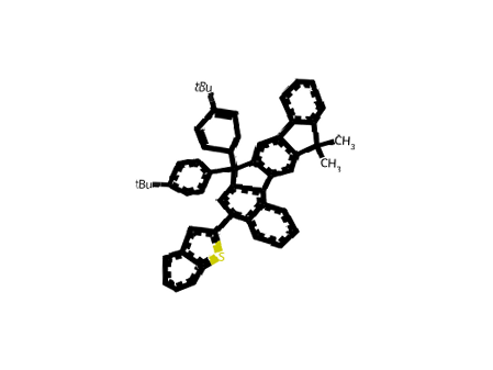 CC(C)(C)C1=CCC(C2(c3ccc(C(C)(C)C)cc3)c3cc4c(cc3-c3c2cc(-c2cc5ccccc5s2)c2ccccc32)C(C)(C)c2ccccc2-4)C=C1